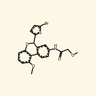 COCC(=O)Nc1ccc2c(c1)C(c1ccc(Br)s1)Oc1cccc(OC)c1-2